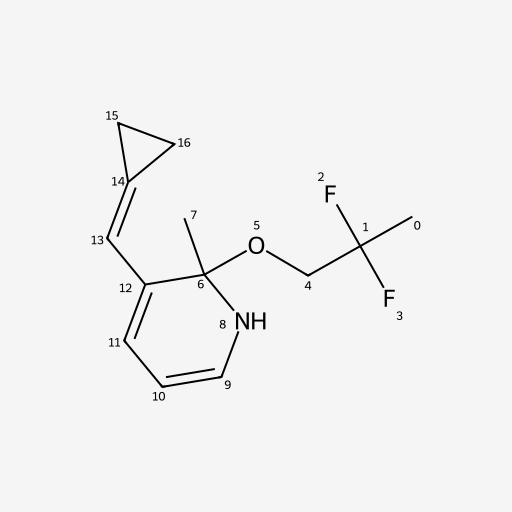 CC(F)(F)COC1(C)NC=CC=C1C=C1CC1